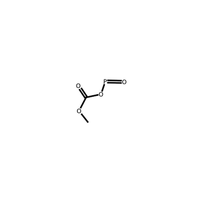 COC(=O)OP=O